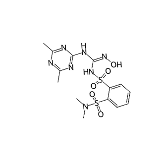 Cc1nc(C)nc(NC(=NO)NS(=O)(=O)c2ccccc2S(=O)(=O)N(C)C)n1